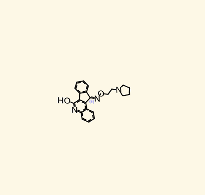 Oc1nc2ccccc2c2c1-c1ccccc1/C2=N\OCCN1CCCC1